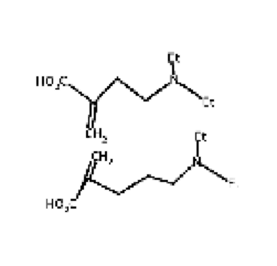 C=C(CCCN(CC)CC)C(=O)O.C=C(CCN(CC)CC)C(=O)O